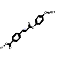 [CH2]CCCCOC(=O)c1ccc(/C=C/C(=O)Oc2ccc(OCCCCCC)cc2)cc1